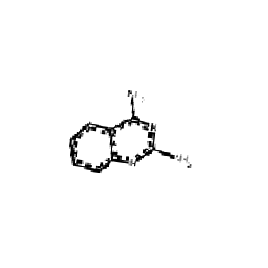 Nc1nc(N)c2ccc[c]c2n1